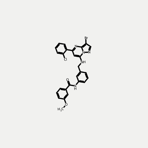 COc1cccc(C(=O)Nc2cccc(CNc3cc(-c4ccccc4Cl)nc4c(Br)cnn34)c2)c1